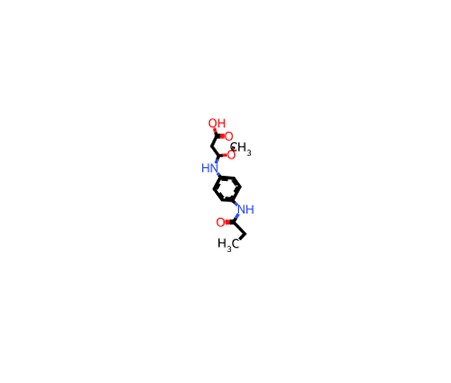 CCC(=O)Nc1ccc(NC(CC(=O)O)OC)cc1